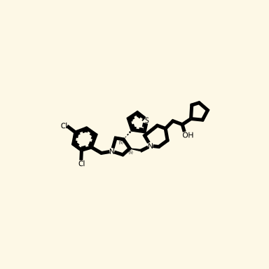 OC(CC1CCN(C[C@H]2CN(Cc3ccc(Cl)cc3Cl)C[C@@H]2c2ccsc2)CC1)C1CCCC1